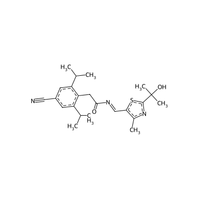 Cc1nc(C(C)(C)O)sc1C=NC(=O)Cc1c(C(C)C)cc(C#N)cc1C(C)C